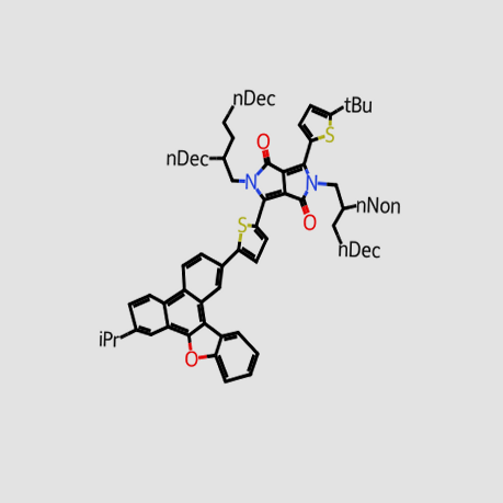 CCCCCCCCCCCCC(CCCCCCCCCC)CN1C(=O)C2=C(c3ccc(C(C)(C)C)s3)N(CC(CCCCCCCCC)CCCCCCCCCCC)C(=O)C2=C1c1ccc(-c2ccc3c4ccc(C(C)C)cc4c4oc5ccccc5c4c3c2)s1